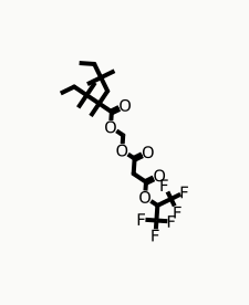 CCC(C)(C)CC(C)(C(=O)OCOC(=O)CC(=O)OC(C(F)(F)F)C(F)(F)F)C(C)(C)CC